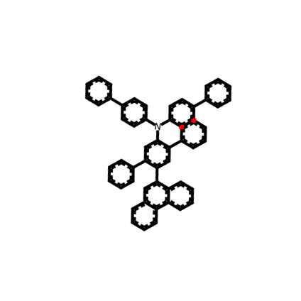 c1ccc(-c2ccc(N(c3ccc(-c4ccccc4)cc3)c3cc(-c4ccccc4)c(-c4cc5ccccc5c5ccccc45)cc3-c3ccccc3)cc2)cc1